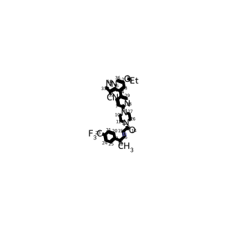 CCOc1cc(-c2ccc(N3CCN(C(=O)/C=C/C(C)c4ccc(C(F)(F)F)cc4)CC3)nc2)c2c(C#N)cnn2c1